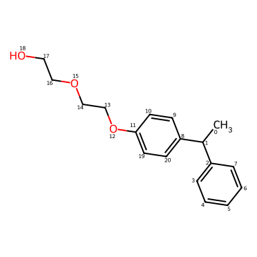 CC(c1ccccc1)c1ccc(OCCOCCO)cc1